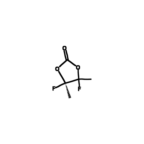 CC1(F)OC(=O)O[C@]1(C)F